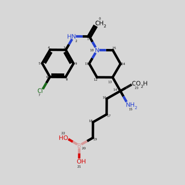 C=C(Nc1ccc(Cl)cc1)N1CCC(C(N)(CCCCB(O)O)C(=O)O)CC1